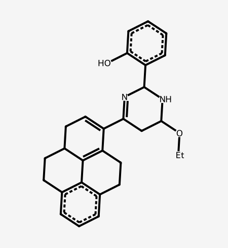 CCOC1CC(C2=CCC3CCc4cccc5c4C3=C2CC5)=NC(c2ccccc2O)N1